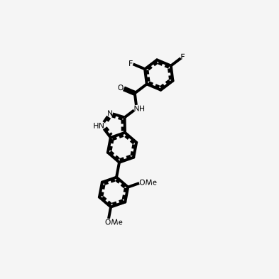 COc1ccc(-c2ccc3c(NC(=O)c4ccc(F)cc4F)n[nH]c3c2)c(OC)c1